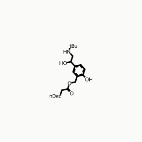 CCCCCCCCCCCC(=O)OCc1cc(C(O)CNC(C)(C)C)ccc1O